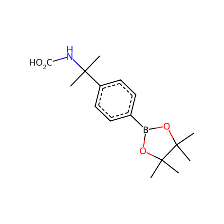 CC(C)(NC(=O)O)c1ccc(B2OC(C)(C)C(C)(C)O2)cc1